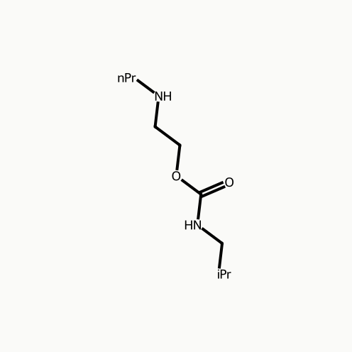 CCCNCCOC(=O)NCC(C)C